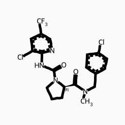 CN(Cc1ccc(Cl)cc1)C(=O)[C@H]1CCCN1C(=O)Nc1ncc(C(F)(F)F)cc1Cl